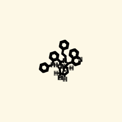 CC[C@@H]1C[N@]2CC[C@H]1C[C@@H]2[C@@H](c1ccnc2ccccc12)N(CCc1ccccc1)C(=O)c1ccccc1Pc1ccccc1